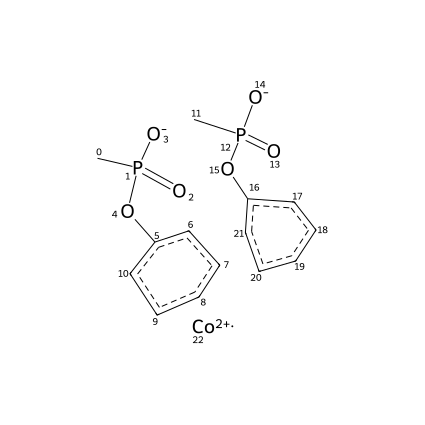 CP(=O)([O-])Oc1ccccc1.CP(=O)([O-])Oc1ccccc1.[Co+2]